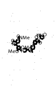 CNC(=O)N1CCc2c(-c3cc(OC)c(CN4CCC(CCN(C)C5CCN(c6ccc7c(c6)C(=O)N(C6CCC(=O)NC6=O)C7=O)CC5)CC4)c(OC)c3)cn(C)c(=O)c2C1